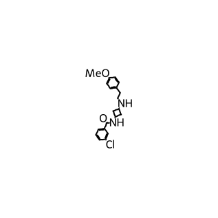 COc1ccc(CCN[C@H]2C[C@H](NC(=O)c3cccc(Cl)c3)C2)cc1